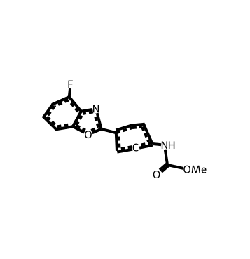 COC(=O)Nc1ccc(-c2nc3c(F)cccc3o2)cc1